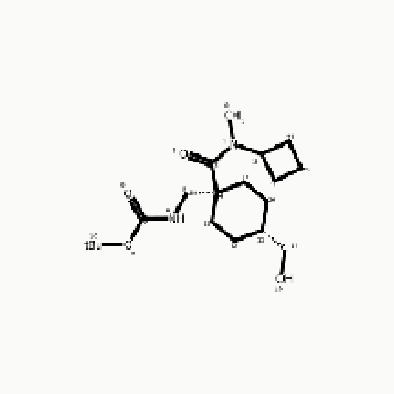 CN(C(=O)[C@]1(CNC(=O)OC(C)(C)C)CC[C@@H](CO)CC1)C1CCC1